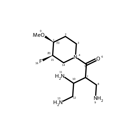 CO[C@H]1CCN(C(=O)C(CN)C(N)CN)C[C@H]1F